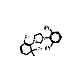 CC(C)C1=C(N2CCN(c3c(C(C)C)cccc3C(C)C)C2)C(C)(C(C)C)CC=C1